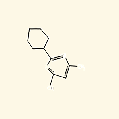 Cc1cc(O)nc(C2CCCCC2)n1